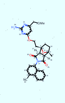 COCc1cc(OCC[C@@]23CC[C@@](C)(O2)[C@H]2C(=O)N(c4ccc(C#N)c5ccccc45)C(=O)[C@H]23)nc(N)n1